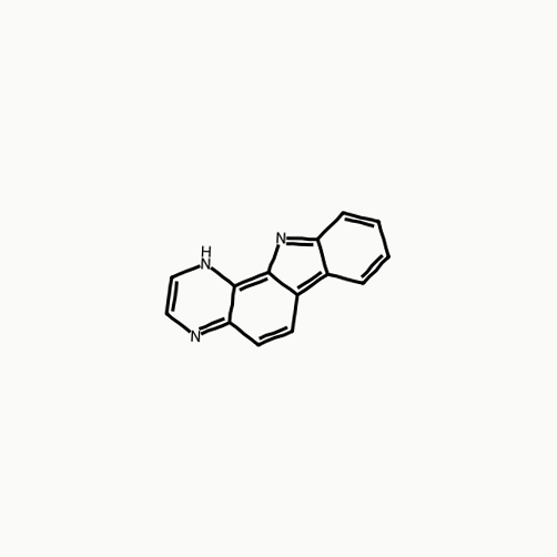 c1ccc2c(c1)nc1c2ccc2ncc[nH]c21